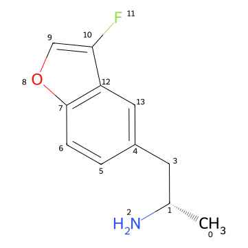 C[C@H](N)Cc1ccc2occ(F)c2c1